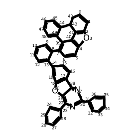 C1=Cc2oc3ccc(-c4ccccc4-c4ccc5c(c4)oc4c(-c6ccccc6)nc(-c6ccccc6)nc45)c4c3c2C(C1)c1ccccc1-4